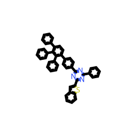 c1ccc(-c2nc(-c3ccc(-c4ccc(-c5ccccc5)c(-c5ccccc5)c4-c4ccccc4)cc3)nc(-c3cc4ccccc4s3)n2)cc1